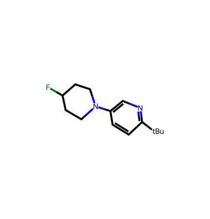 CC(C)(C)c1ccc(N2CCC(F)CC2)cn1